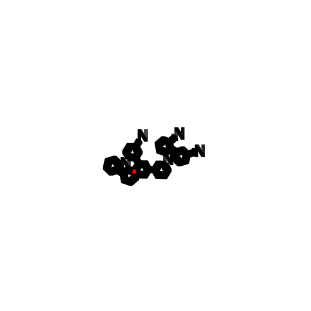 N#Cc1ccc(-n2c3ccccc3c3ccccc32)c(-c2cccc(-c3cccc(-n4c5ccc(C#N)cc5c5c(C#N)cccc54)c3)c2)c1